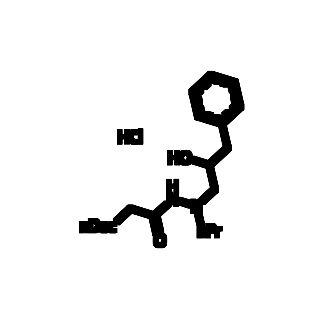 CCCCCCCCCCCC(=O)NN(CCC)CC(O)Cc1ccccc1.Cl